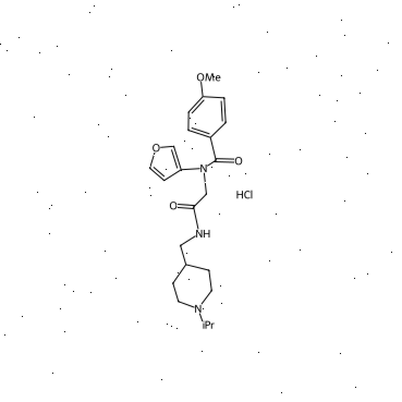 COc1ccc(C(=O)N(CC(=O)NCC2CCN(C(C)C)CC2)c2ccoc2)cc1.Cl